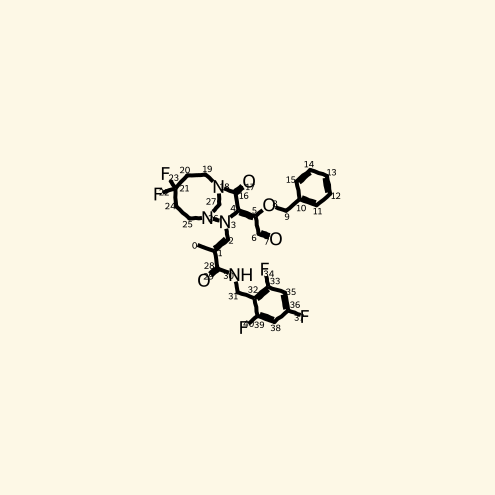 C/C(=C\N1/C(=C(\C=O)OCc2ccccc2)C(=O)N2CCC(F)(F)CCN1C2)C(=O)NCc1c(F)cc(F)cc1F